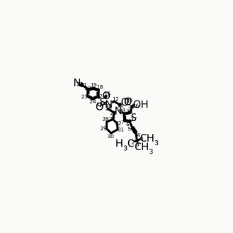 CC(C)(C)C#Cc1cc(N2C(=O)CN(S(=O)(=O)c3ccc(C#N)cc3)CC2C2CCCCC2)c(C(=O)O)s1